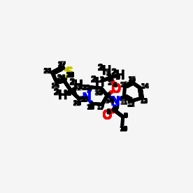 [2H]C([2H])([2H])OC1(N(C(=O)CC)c2ccccc2)CCN(CC([2H])([2H])c2cccs2)CC1